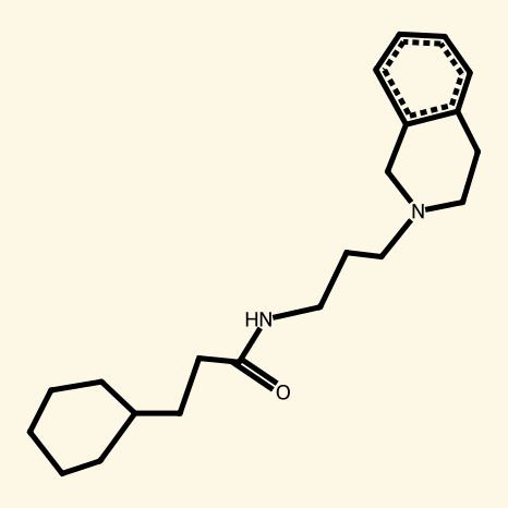 O=C(CCC1CCCCC1)NCCCN1CCc2ccccc2C1